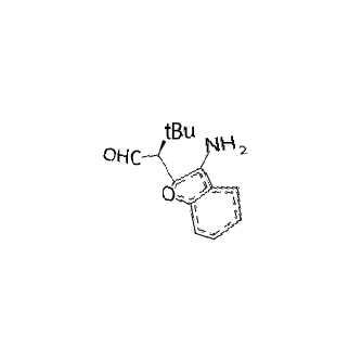 CC(C)(C)[C@H](C=O)c1oc2ccccc2c1N